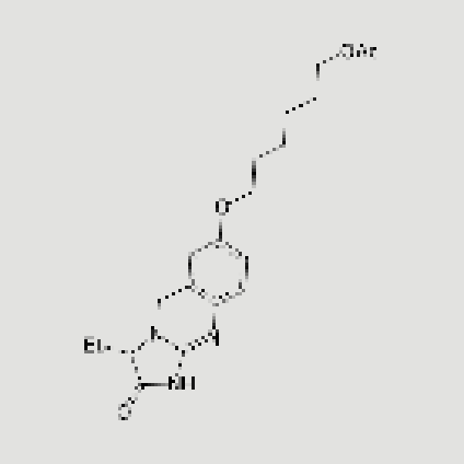 CCC1C(=O)NC2=Nc3ccc(OCCCCCCOC(C)=O)cc3CN21